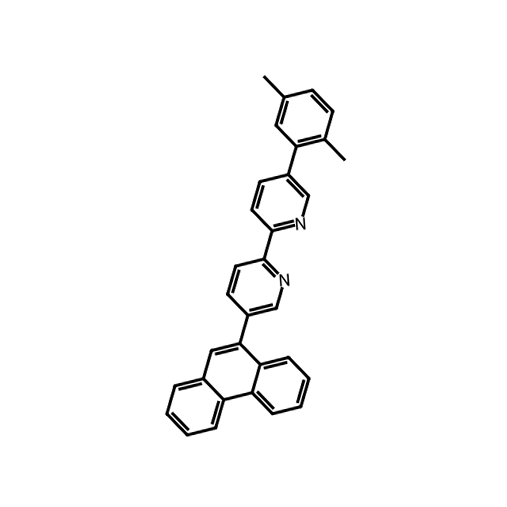 Cc1ccc(C)c(-c2ccc(-c3ccc(-c4cc5ccccc5c5ccccc45)cn3)nc2)c1